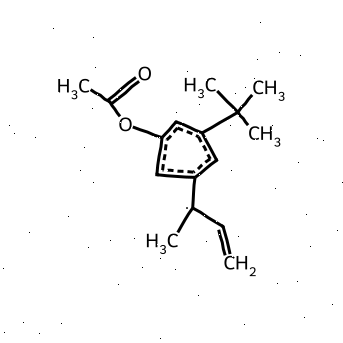 C=C[C](C)c1cc(OC(C)=O)cc(C(C)(C)C)c1